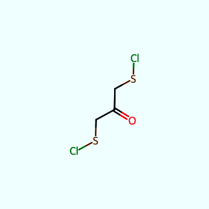 O=C(CSCl)CSCl